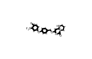 O=c1nc(OCc2ccc(Oc3ccc(F)c(C(F)(F)F)c3)cc2)cc2n1CCCN2